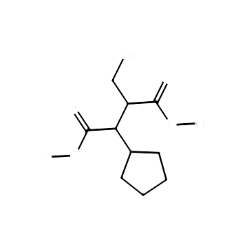 CCCCOC(=O)C(CC(C)C)C(C(=O)OCCCC)C1CCCC1